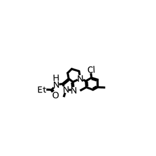 CCC(=O)Nc1c2c(nn1C)N(c1c(C)cc(C)cc1Cl)CCC2